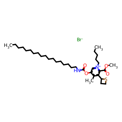 CCCCCCCCCCCCCCCCCCNC(=O)Oc1c[n+](CCCCC)c(C(=O)OC)c(C2CCS2)c1C.[Br-]